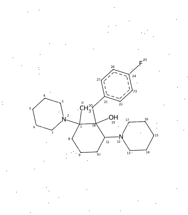 CC1(N2CCCCC2)CCCC(N2CCCCC2)C1(O)Cc1ccc(F)cc1